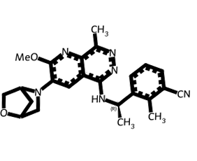 COc1nc2c(C)nnc(N[C@H](C)c3cccc(C#N)c3C)c2cc1N1CC2CC1CO2